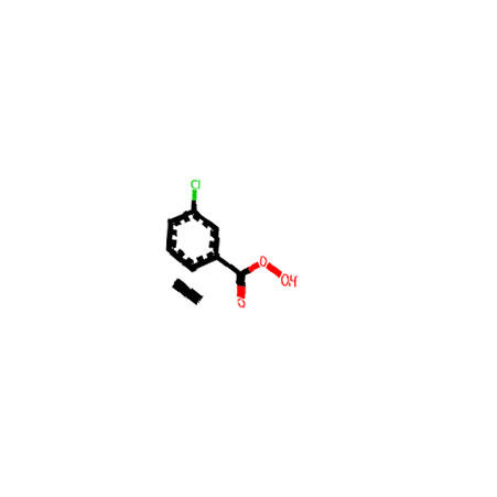 C=C.O=C(OO)c1cccc(Cl)c1